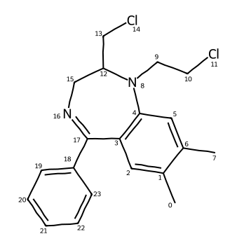 Cc1cc2c(cc1C)N(CCCl)C(CCl)CN=C2c1ccccc1